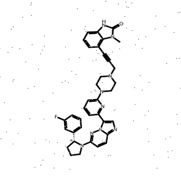 Cn1c(=O)[nH]c2cccc(C#CCN3CCN(c4cccc(-c5cnc6ccc(N7CCC[C@@H]7c7cccc(F)c7)nn56)n4)CC3)c21